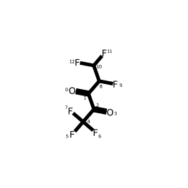 O=C(C(=O)C(F)(F)F)C(F)C(F)F